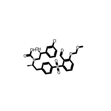 COCOc1cccc(S(=O)(=O)c2ccc(C[C@@H](C)N(C[C@@H](O)c3cccc(Cl)c3)C(=O)O)cc2)c1C=O